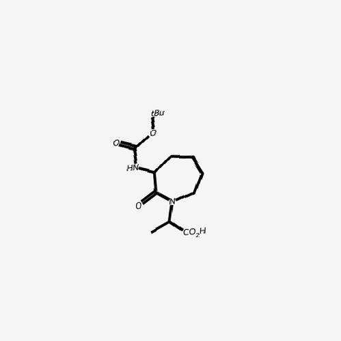 CC(C(=O)O)N1CCCCC(NC(=O)OC(C)(C)C)C1=O